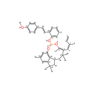 C=C/C(C)=C\C1=C(\C)OP(Oc2ccccc2/C=C/c2ccc(OC)cc2)Oc2cc(C)cc3c2C(CC1(C)C)CC3(C)C